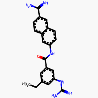 N=C(N)Nc1cc(CC(=O)O)cc(C(=O)Nc2ccc3cc(C(=N)N)ccc3c2)c1